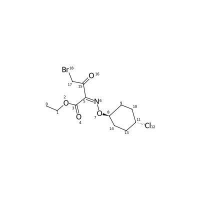 CCOC(=O)C(=NO[C@H]1CC[C@H](Cl)CC1)C(=O)CBr